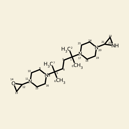 CC(C)(CCC(C)(C)N1CCN(C2CO2)CC1)N1CCN(C2CN2)CC1